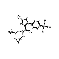 Cc1nc(C(=O)N(CCN)CC2CC2)c(-c2ccc(C(F)(F)F)cc2)s1